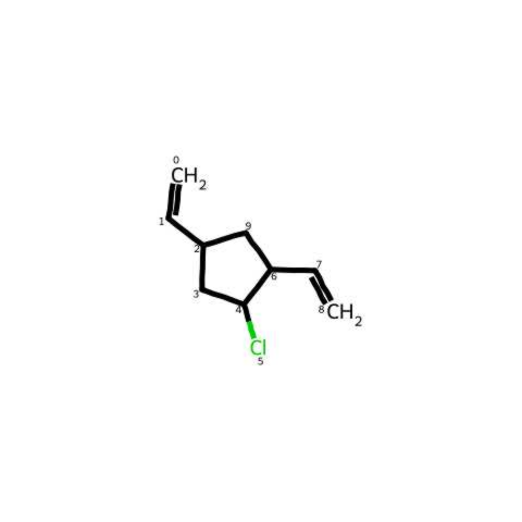 C=CC1CC(Cl)C(C=C)C1